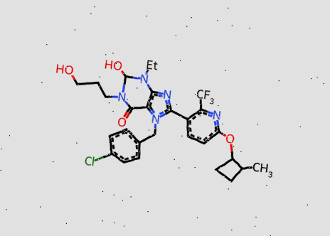 CCN1c2nc(-c3ccc(OC4CCC4C)nc3C(F)(F)F)n(Cc3ccc(Cl)cc3)c2C(=O)N(CCCO)C1O